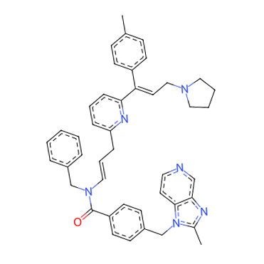 Cc1ccc(C(=CCN2CCCC2)c2cccc(CC=CN(Cc3ccccc3)C(=O)c3ccc(Cn4c(C)nc5cnccc54)cc3)n2)cc1